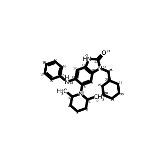 CC1CCCC(C)N1c1cc2c(cc1Nc1ccccc1)[nH]c(=O)n2CC1CCCCC1